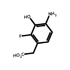 Nc1ccc(CC(=O)O)c(F)c1O